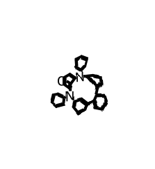 Clc1c2cccc1N(c1ccccc1)c1cccc(c1)-c1ccccc1-c1cccc(c1)N2c1ccccc1